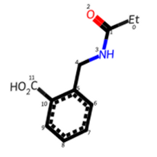 CCC(=O)NCc1ccccc1C(=O)O